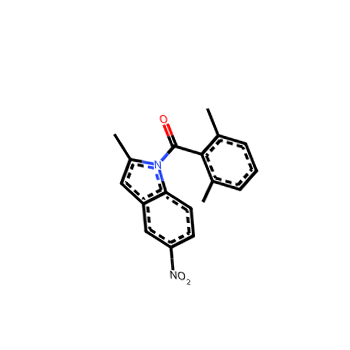 Cc1cccc(C)c1C(=O)n1c(C)cc2cc([N+](=O)[O-])ccc21